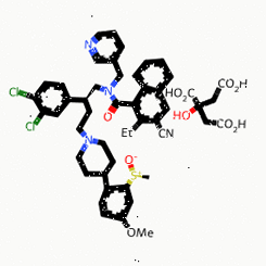 CCc1c(C#N)cc2ccccc2c1C(=O)N(Cc1cccnc1)C[C@@H](CCN1CCC(c2ccc(OC)cc2[S@+](C)[O-])CC1)c1ccc(Cl)c(Cl)c1.O=C(O)CC(O)(CC(=O)O)C(=O)O